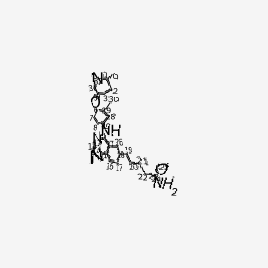 Cc1ccc(Oc2ccc(Nc3ncnc4ccc(C=CCCC(N)=O)cc34)cc2C)cn1